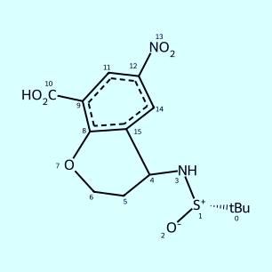 CC(C)(C)[S@+]([O-])NC1CCOc2c(C(=O)O)cc([N+](=O)[O-])cc21